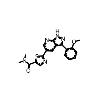 COc1ccccc1-c1n[nH]c2ncc(-c3ncc(C(=O)N(C)C)s3)cc12